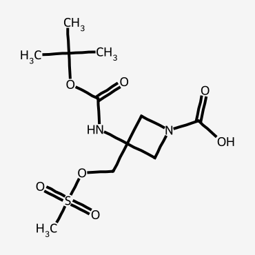 CC(C)(C)OC(=O)NC1(COS(C)(=O)=O)CN(C(=O)O)C1